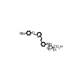 CCC(CC)(CC(=O)Nc1cccc(/C=C/c2cccc(COc3ccc(C(C)(C)C)cc3)n2)c1)C(=O)O